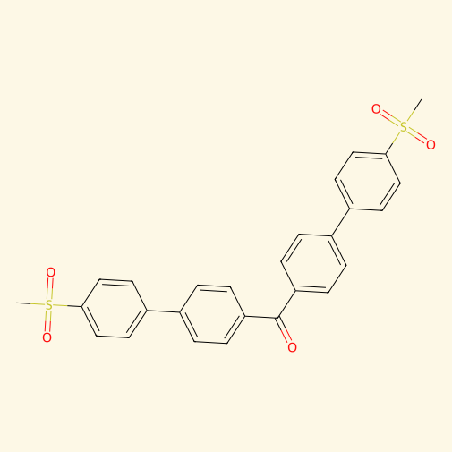 CS(=O)(=O)c1ccc(-c2ccc(C(=O)c3ccc(-c4ccc(S(C)(=O)=O)cc4)cc3)cc2)cc1